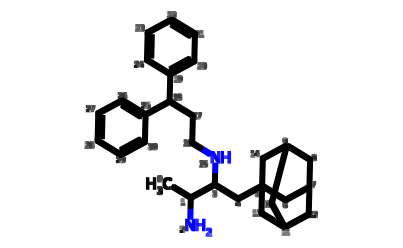 CC(N)C(CC12CC3CC(CC(C3)C1)C2)NCCC(c1ccccc1)c1ccccc1